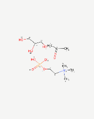 CC(C)=O.C[N+](C)(C)CCOP(=O)([O-])O.OCC(O)CO